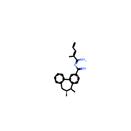 C=C/C=C(C)/C(N)=N/C(=N)c1ccc2c(c1)-c1ccccc1C[C@H](C)C2C